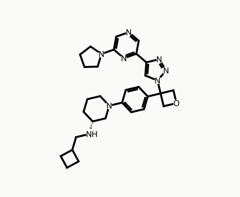 c1cc(C2(n3cc(-c4cncc(N5CCCC5)n4)nn3)COC2)ccc1N1CCC[C@@H](NCC2CCC2)C1